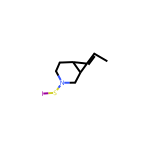 C/C=C1/C2CCN(SI)CC12